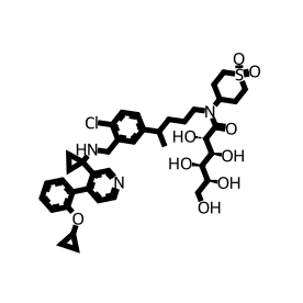 CC(CCCN(C(=O)[C@@H](O)[C@@H](O)[C@H](O)[C@@H](O)CO)C1CCS(=O)(=O)CC1)c1ccc(Cl)c(CNC2(c3cnccc3-c3ccccc3OC3CC3)CC2)c1